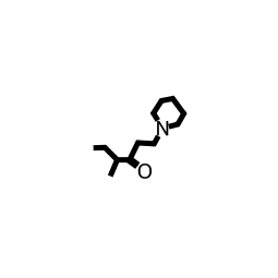 CCC(C)C(=O)CCN1CCCCC1